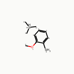 COc1ccccc1[SiH3].C[SiH](C)C